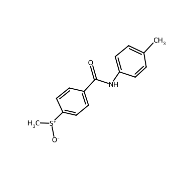 Cc1ccc(NC(=O)c2ccc([S+](C)[O-])cc2)cc1